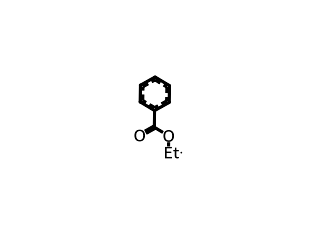 C[CH]OC(=O)c1ccccc1